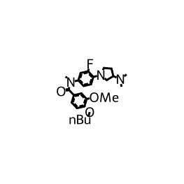 CCCCOc1ccc(C(=O)N(C)c2ccc(N3CCC(N(C)C)C3)c(F)c2)cc1OC